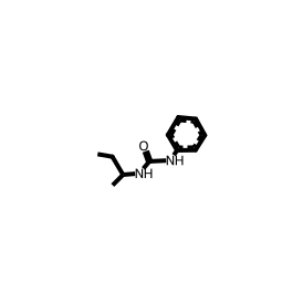 CCC(C)NC(=O)Nc1ccccc1